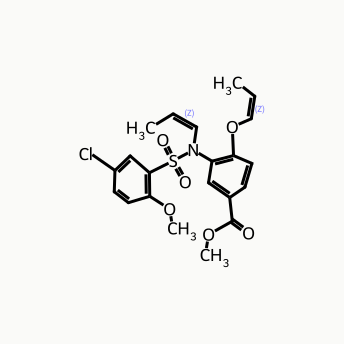 C/C=C\Oc1ccc(C(=O)OC)cc1N(/C=C\C)S(=O)(=O)c1cc(Cl)ccc1OC